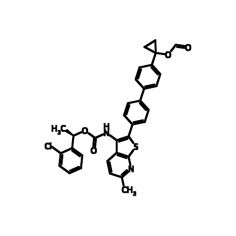 Cc1ccc2c(NC(=O)O[C@H](C)c3ccccc3Cl)c(-c3ccc(-c4ccc(C5(OC=O)CC5)cc4)cc3)sc2n1